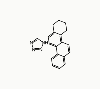 c1ccc2c(c1)ccc1c3c(ccc12)CCCC3.c1nnn[nH]1